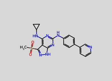 CS(=O)(=O)c1n[nH]c2nc(Nc3ccc(-c4cccnc4)cc3)nc(NC3CC3)c12